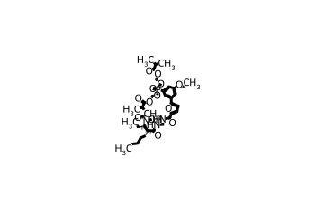 CCCCC[C@@H](C(=O)NCNC(=O)c1ccc(-c2cc(OCC)cc(P(=O)(OCOC(=O)C(C)C)OCOC(=O)C(C)C)c2)o1)[C@@H](CC)N(O)C=O